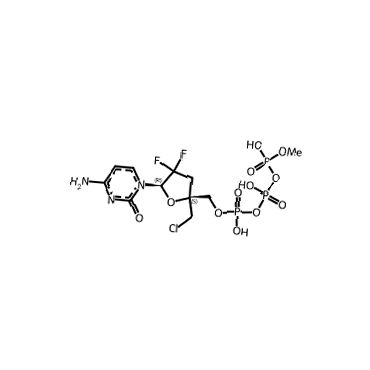 COP(=O)(O)OP(=O)(O)OP(=O)(O)OC[C@]1(CCl)CC(F)(F)[C@H](n2ccc(N)nc2=O)O1